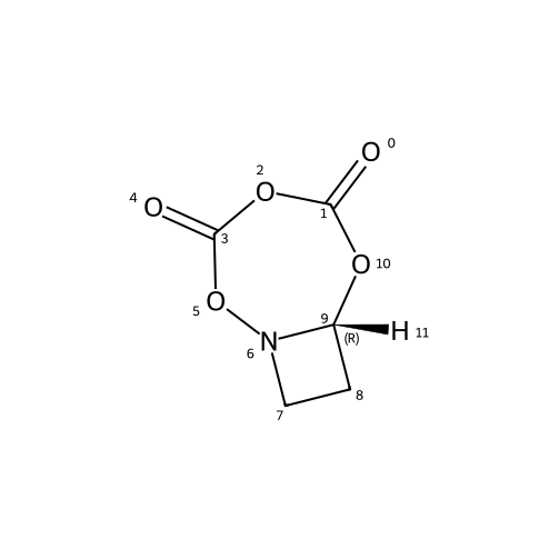 O=C1OC(=O)ON2CC[C@H]2O1